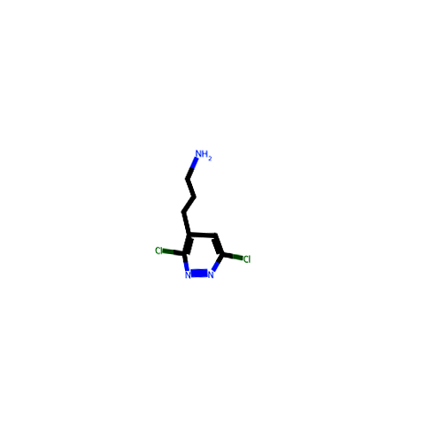 NCCCc1cc(Cl)nnc1Cl